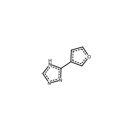 [c]1nnc(-c2ccoc2)[nH]1